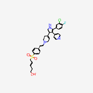 O=S(=O)(CC=CCCO)c1ccc(C=CN2CC=C(c3c[nH]c(-c4ccc(F)c(Cl)c4)c3-c3ccncc3)CC2)cc1